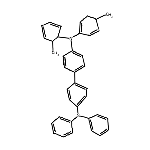 CC1C=CC(N(c2ccc(-c3ccc(N(c4ccccc4)c4ccccc4)cc3)cc2)C2C=CC=CC2C)=CC1